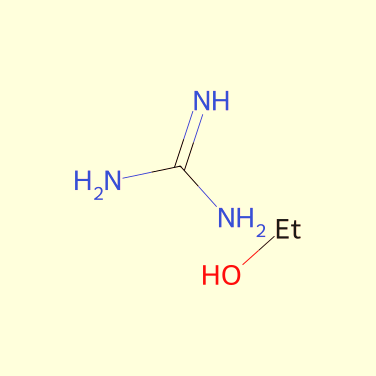 CCO.N=C(N)N